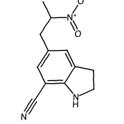 CC(Cc1cc(C#N)c2c(c1)CCN2)[N+](=O)[O-]